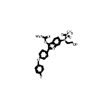 CNC(=O)Oc1c(-c2ccc(Oc3ccc(F)cc3)cc2)oc2cc(N(CCO)S(C)(=O)=O)ccc12